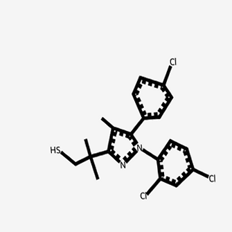 Cc1c(C(C)(C)CS)nn(-c2ccc(Cl)cc2Cl)c1-c1ccc(Cl)cc1